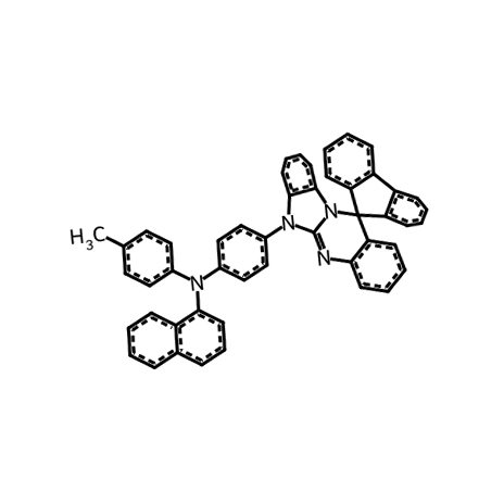 Cc1ccc(N(c2ccc(N3C4=Nc5ccccc5C5(c6ccccc6-c6ccccc65)N4c4ccccc43)cc2)c2cccc3ccccc23)cc1